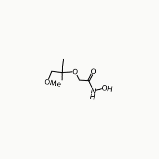 COCC(C)(C)OCC(=O)NO